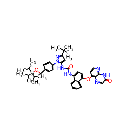 CC(C)[Si](OCc1ccc(-n2nc(C(C)(C)C)cc2NC(=O)Nc2ccc(Oc3ccnc4[nH]c(=O)cnc34)c3ccccc23)cc1)(C(C)C)C(C)C